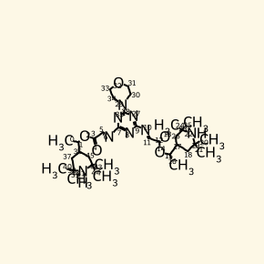 CC(OC(=O)C=Nc1nc(N=CC(=O)OC(C)C2CC(C)(C)NC(C)(C)C2)nc(N2CCOCC2)n1)C1CC(C)(C)NC(C)(C)C1